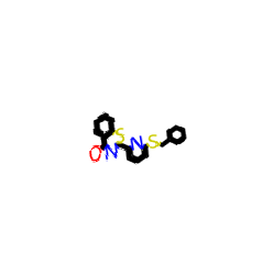 O=c1nc(-c2cccc(SCc3ccccc3)n2)sc2ccccc12